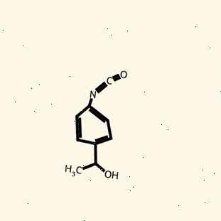 CC(O)c1ccc(N=C=O)cc1